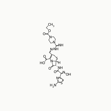 CCOC(=O)N1CCN(C(=N)N/N=C\C2=C(C(=O)O)N3C(=O)[C@@H](NC(=O)C(=NO)c4csc(N)n4)[C@H]3SC2)CC1